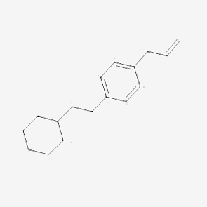 C=CCc1ccc(CCC2CCCCC2)cc1